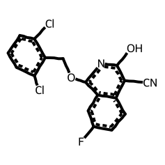 N#Cc1c(O)nc(OCc2c(Cl)cccc2Cl)c2cc(F)ccc12